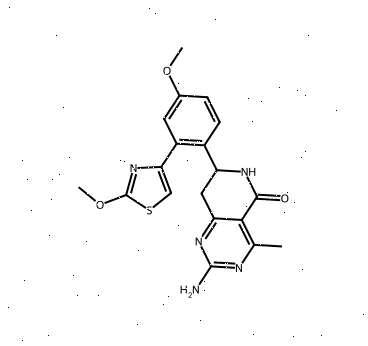 COc1ccc(C2Cc3nc(N)nc(C)c3C(=O)N2)c(-c2csc(OC)n2)c1